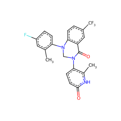 Cc1cc(F)ccc1N1CN(c2ccc(=O)[nH]c2C)C(=O)c2cc(C(F)(F)F)ccc21